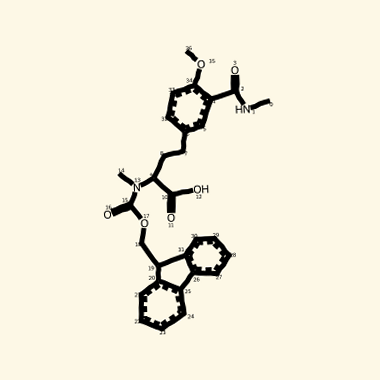 CNC(=O)c1cc(CCC(C(=O)O)N(C)C(=O)OCC2c3ccccc3-c3ccccc32)ccc1OC